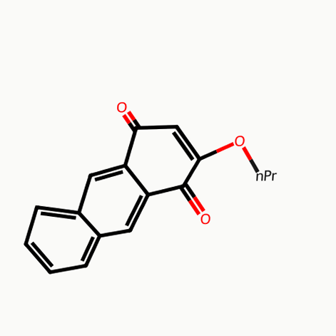 CCCOC1=CC(=O)c2cc3ccccc3cc2C1=O